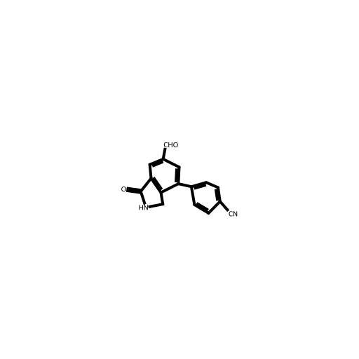 N#Cc1ccc(-c2cc(C=O)cc3c2CNC3=O)cc1